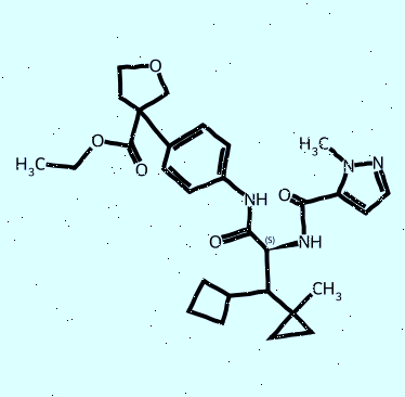 CCOC(=O)C1(c2ccc(NC(=O)[C@@H](NC(=O)c3ccnn3C)C(C3CCC3)C3(C)CC3)cc2)CCOC1